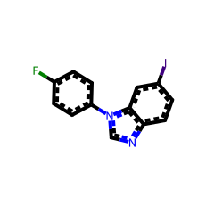 Fc1ccc(-n2cnc3ccc(I)cc32)cc1